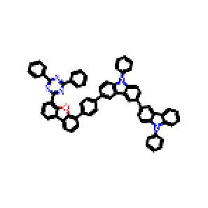 c1ccc(-c2nc(-c3ccccc3)nc(-c3cccc4c3oc3c(-c5ccc(-c6ccc7c(c6)c6cc(-c8ccc9c(c8)c8ccccc8n9-c8ccccc8)ccc6n7-c6ccccc6)cc5)cccc34)n2)cc1